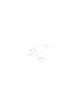 CC(C)CCOc1c(C=Cc2nc3ccncn3c2C(=O)Nc2nc(C(F)(F)F)cs2)cccc1OC(F)F